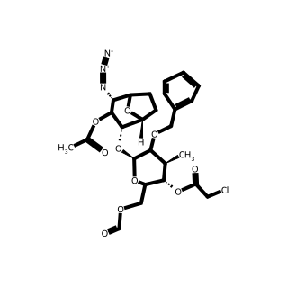 CC(=O)OC1[C@H](N=[N+]=[N-])C2CC[C@@H](O2)[C@@H]1O[C@@H]1OC(COC=O)[C@@H](OC(=O)CCl)[C@H](C)C1OCc1ccccc1